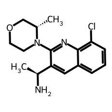 C[C@H](N)c1cc2cccc(Cl)c2nc1N1CCOC[C@@H]1C